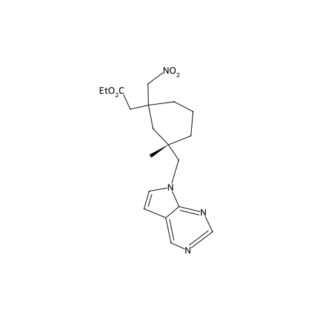 CCOC(=O)CC1(C[N+](=O)[O-])CCC[C@](C)(Cn2ccc3cncnc32)C1